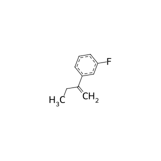 C=C(CC)c1cccc(F)c1